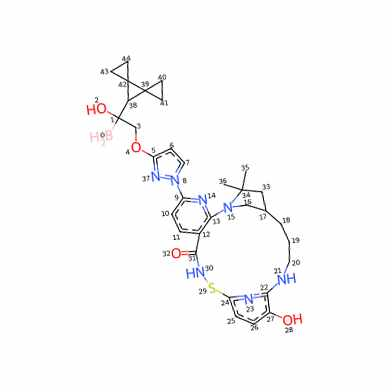 BC(O)(COc1ccn(-c2ccc3c(n2)N2CC(CCCNc4nc(ccc4O)SNC3=O)CC2(C)C)n1)C1C2(CC2)C12CC2